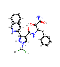 NC(=O)C(=O)C(Cc1ccccc1)NC(=O)c1cn(C(F)F)nc1-c1cc2ccccc2cn1